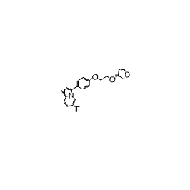 Fc1ccc2ncc(-c3ccc(OCCO[C@@H]4CCOC4)cc3)n2c1